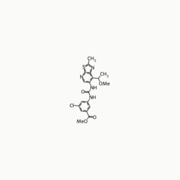 COC(=O)c1cc(Cl)cc(NC(=O)Nc2cnc3sc(C)nc3c2C(C)OC)c1